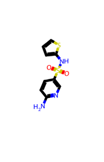 Nc1ccc(S(=O)(=O)Nc2cccs2)cn1